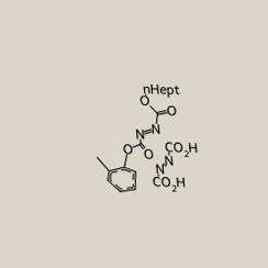 CCCCCCCOC(=O)N=NC(=O)Oc1ccccc1C.O=C(O)N=NC(=O)O